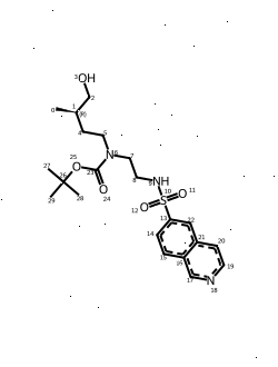 C[C@@H](CO)CCN(CCNS(=O)(=O)c1ccc2cnccc2c1)C(=O)OC(C)(C)C